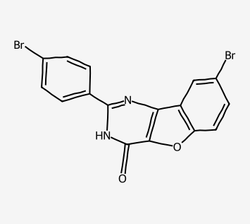 O=c1[nH]c(-c2ccc(Br)cc2)nc2c1oc1ccc(Br)cc12